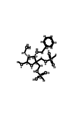 COC1OC(COS(C)(=O)=O)(COS(C)(=O)=O)[C@@H](OCc2ccccc2)[C@H]1CO